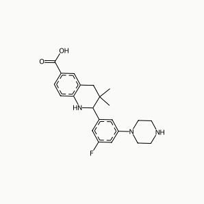 CC1(C)Cc2cc(C(=O)O)ccc2NC1c1cc(F)cc(N2CCNCC2)c1